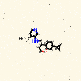 O=C(O)c1ccncc1NC[C@@H]1CCOc2cc(C3CC3)ccc21